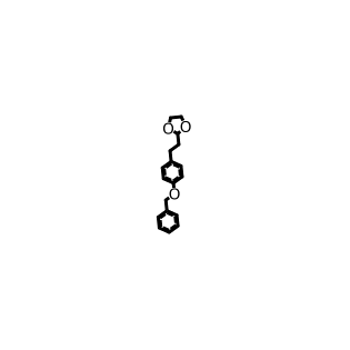 c1ccc(COc2ccc(CCC3OCCO3)cc2)cc1